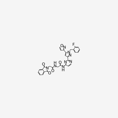 O=C(CN1C(=O)c2ccccc2C1=O)NCC(=O)Nc1ccnc(-c2cc(-c3ccon3)n(Cc3ccccc3F)n2)n1